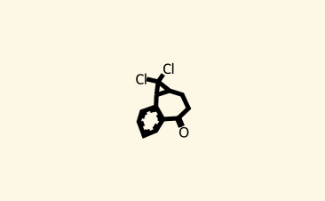 O=C1CCC2C(c3ccccc31)C2(Cl)Cl